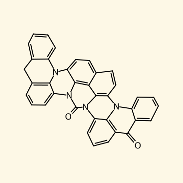 O=c1c2ccccc2n2c3ccc4ccc5c6c4c3n(c(=O)n6c3cccc4c3n5-c3ccccc3C4)c3cccc1c32